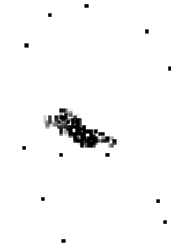 CC(C)(C)[Si](C)(C)O[C@H]1CC[C@@]2(C)C(=CC[C@H]3[C@@H]4CC[C@H](OCC=O)[C@@]4(C)CC[C@@H]32)C1